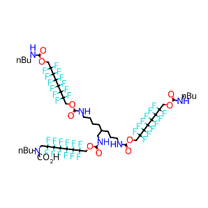 CCCCNC(=O)OCC(F)(F)C(F)(F)C(F)(F)C(F)(F)C(F)(F)C(F)(F)COC(=O)NCCCCC(CCCNC(=O)OCC(F)(F)C(F)(F)C(F)(F)C(F)(F)C(F)(F)C(F)(F)COC(=O)NCCCC)CNC(=O)OCC(F)(F)C(F)(F)C(F)(F)C(F)(F)C(F)(F)C(F)(F)CN(CCCC)C(=O)O